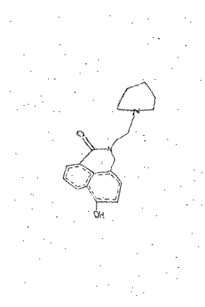 O=C1c2cccc3c(O)ccc(c23)CN1CCN1CCCCC1